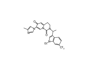 CCn1cc(C(C)N2CCc3cc(=O)c(-n4cnc(C)c4)cn3C2=O)c2ccc(C(F)(F)F)cc21